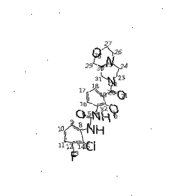 COc1c(NC(=O)Nc2cccc(F)c2Cl)cccc1C(=O)N1CCN2CCOCC2C1